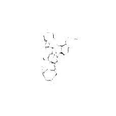 COc1cccc2c1SC(C(=O)N1CCCCC1)C(=O)N2CC(=O)NC1CCCCC1